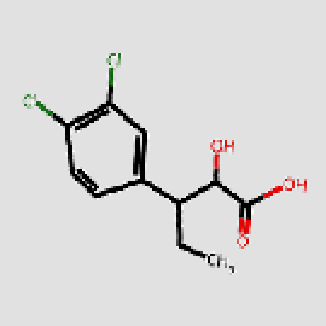 CCC(c1ccc(Cl)c(Cl)c1)C(O)C(=O)O